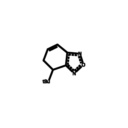 CC(C)(C)C1CC=Cc2nonc21